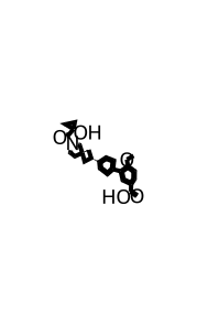 COc1ccc(C(=O)O)cc1-c1ccc([C@H]2C[C@@]3(CCN(C(=O)C4(O)CC4)C3)C2)cc1